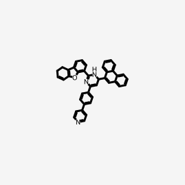 C1=Cc2oc3c(C4=NC(c5ccc(-c6ccncc6)cc5)=CC(c5cc6ccccc6c6ccccc56)N4)cccc3c2CC1